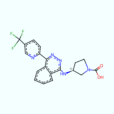 O=C(O)N1CC[C@H](Nc2nnc(-c3ccc(C(F)(F)F)cn3)c3ccccc23)C1